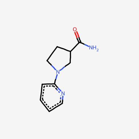 NC(=O)C1CCN(c2ccccn2)C1